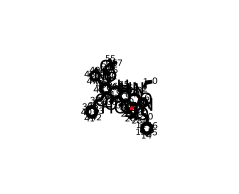 C=CCN[C@@H]1c2onc(OCc3ccccc3)c2C(=O)[C@@]2(O[Si](C)(C)C(C)(C)C)C(O)=C3C(=O)c4c(OCc5ccccc5)cc(C5CCCN5C(=O)OC(C)(C)C)c(F)c4C[C@H]3C[C@@H]12